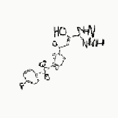 O=C(C=C(O)c1nn[nH]n1)c1ccc(S(=O)(=O)c2ccc(F)cc2)s1